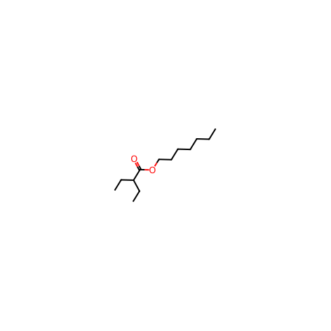 CCCCCCCOC(=O)C(CC)CC